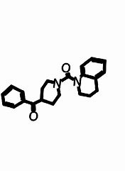 O=C(c1ccccc1)C1CCN(C(=O)N2CCCc3ccccc32)CC1